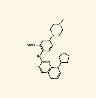 COc1cc(N2CCN(C)CC2)ccc1Nc1ncc2c(n1)N(C1CCCC1)C=CC2